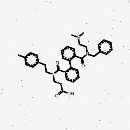 Cc1ccc(CCN(CCC(=O)O)C(=O)c2ccccc2-c2ccccc2C(=O)N(CCN(C)C)Cc2ccccc2)cc1